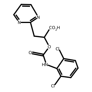 O=C(Nc1c(Cl)cccc1Cl)OC(Cc1ncccn1)C(=O)O